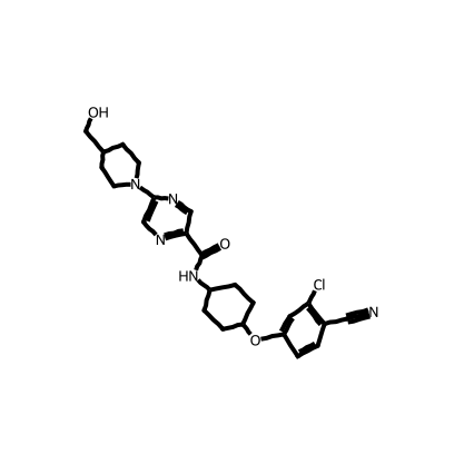 N#Cc1ccc(OC2CCC(NC(=O)c3cnc(N4CCC(CO)CC4)cn3)CC2)cc1Cl